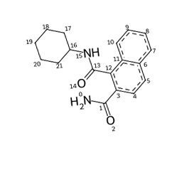 NC(=O)c1ccc2ccccc2c1C(=O)NC1CCCCC1